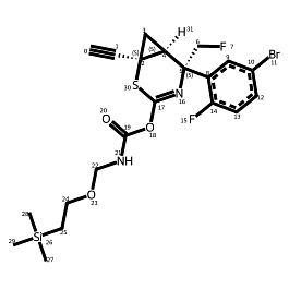 C#C[C@]12C[C@H]1[C@@](CF)(c1cc(Br)ccc1F)N=C(OC(=O)NCOCC[Si](C)(C)C)S2